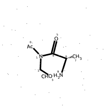 CC(=O)N(C[C]=O)C(=O)[C@H](C)N